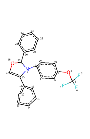 FC(F)(F)Oc1ccc(N2C(c3ccccc3)=COC2c2ccccc2)cc1